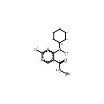 CCN(c1nc(Cl)ncc1C(=O)NC(C)(C)C)C1CCCCC1